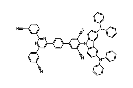 N#Cc1cccc(-c2cc(-c3ccc(-c4cc(C#N)c(-n5c6ccc(N(c7ccccc7)c7ccccc7)cc6c6cc(N(c7ccccc7)c7ccccc7)ccc65)c(C#N)c4)cc3)nc(-c3cccc(C#N)c3)n2)c1